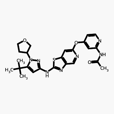 CC(=O)Nc1cc(Oc2cc3sc(Nc4cc(C(C)(C)C)n(C5CCOC5)n4)nc3cn2)ccn1